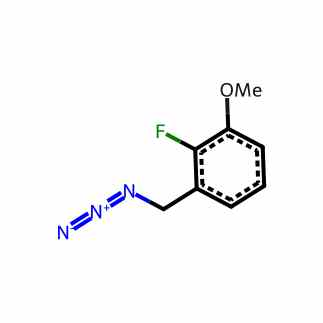 COc1cccc(CN=[N+]=[N-])c1F